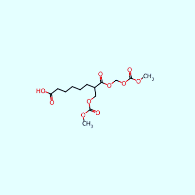 COC(=O)OCOC(=O)C(CCCCCC(=O)O)COC(=O)OC